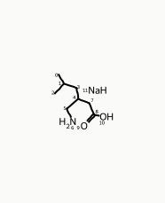 CC(C)CC(CN)CC(=O)O.[NaH]